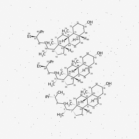 CC(C)[C@H](C)CC[C@@H](C)[C@H]1CC[C@H]2[C@@H]3CC=C4C[C@@H](O)CC[C@]4(C)[C@H]3CC[C@]12C.CC[C@H](CC[C@@H](C)[C@H]1CC[C@H]2[C@@H]3CC=C4C[C@@H](O)CC[C@]4(C)[C@H]3CC[C@]12C)C(C)C.CC[C@H](CC[C@@H](C)[C@H]1CC[C@H]2[C@@H]3CC[C@H]4C[C@@H](O)CC[C@]4(C)[C@H]3CC[C@]12C)C(C)C